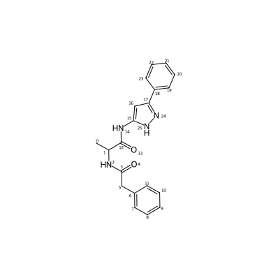 CC(NC(=O)Cc1ccccc1)C(=O)Nc1cc(-c2ccccc2)n[nH]1